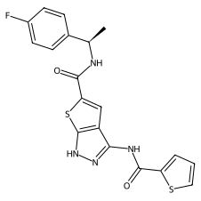 C[C@@H](NC(=O)c1cc2c(NC(=O)c3cccs3)n[nH]c2s1)c1ccc(F)cc1